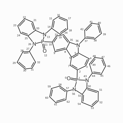 O=P1(c2ccc3c(c2)c2cc(P4(=O)N(c5ccccc5)c5ccccc5N4c4ccccc4)ccc2n3-c2ccccc2)N(c2ccccc2)c2ccccc2N1c1ccccc1